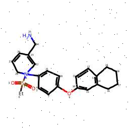 CCS(=O)(=O)[N+]1(c2ccc(Oc3ccc4c(c3)CCCC4)cc2)C=C(CN)C=CC1